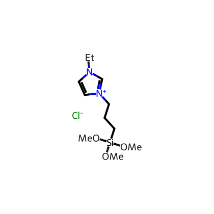 CCn1cc[n+](CCC[Si](OC)(OC)OC)c1.[Cl-]